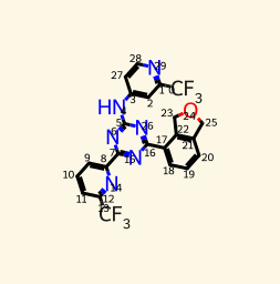 FC(F)(F)c1cc(Nc2nc(-c3cccc(C(F)(F)F)n3)nc(-c3cccc4c3COC4)n2)ccn1